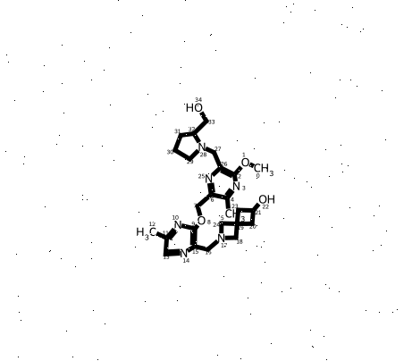 COc1nc(C)c(COc2nc(C)cnc2CN2CC3(CC(O)C3)C2)nc1CN1CCCC1CO